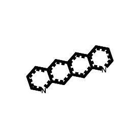 c1cnc2cc3cc4ncccc4cc3cc2c1